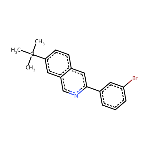 C[Si](C)(C)c1ccc2cc(-c3cccc(Br)c3)ncc2c1